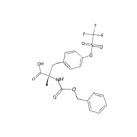 C[C@@](Cc1ccc(OS(=O)(=O)C(F)(F)F)cc1)(NC(=O)OCc1ccccc1)C(=O)O